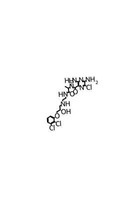 CC(NC(=O)c1nc(Cl)c(N)nc1N)C(=O)NCCNC[C@H](O)COc1cccc(Cl)c1Cl